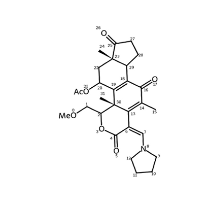 COCC1OC(=O)/C(=C\N2CCCC2)C2=C(C)C(=O)C3=C(C(OC(C)=O)C[C@]4(C)C(=O)CCC34)[C@]21C